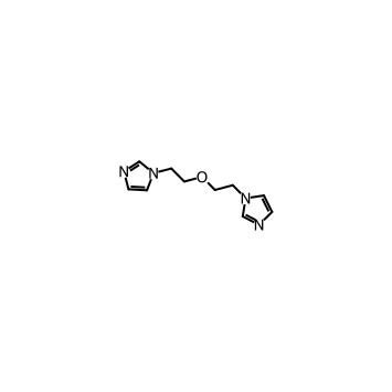 c1cn(CCOCCn2ccnc2)cn1